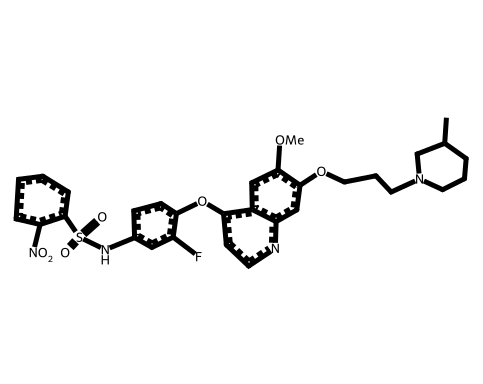 COc1cc2c(Oc3ccc(NS(=O)(=O)c4ccccc4[N+](=O)[O-])cc3F)ccnc2cc1OCCCN1CCCC(C)C1